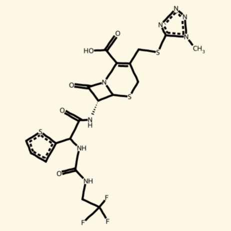 Cn1nnnc1SCC1=C(C(=O)O)N2C(=O)[C@@H](NC(=O)C(NC(=O)NCC(F)(F)F)c3cccs3)C2SC1